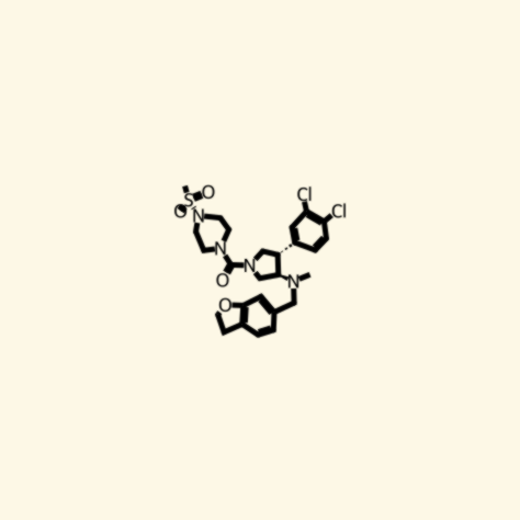 CN(Cc1ccc2c(c1)OCC2)[C@H]1CN(C(=O)N2CCN(S(C)(=O)=O)CC2)C[C@@H]1c1ccc(Cl)c(Cl)c1